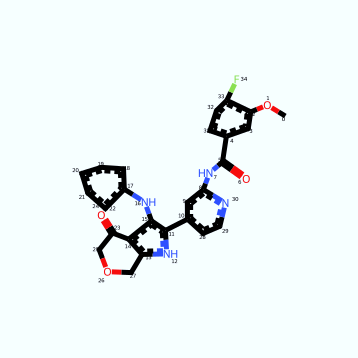 COc1cc(C(=O)Nc2cc(-c3[nH]c4c(c3Nc3ccccc3)C(=O)COC4)ccn2)ccc1F